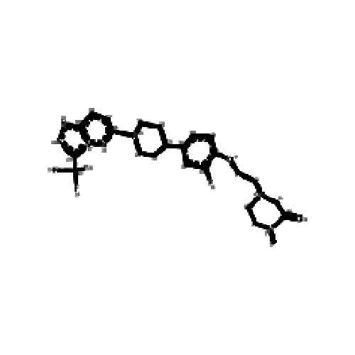 CN1CCN(CCOc2ccc(C3CCN(c4ccc5nnc(C(F)(F)F)n5n4)CC3)cc2F)CC1=O